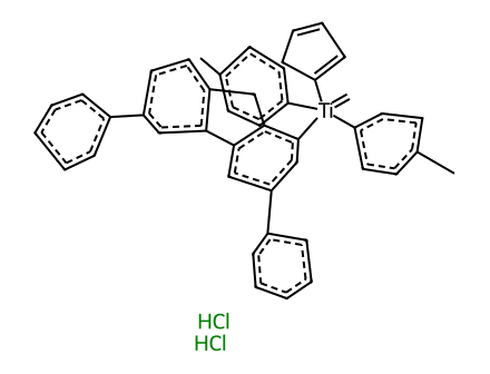 Cl.Cl.[CH2]=[Ti]([C]1=CC=CC1)([c]1ccc(C)cc1)([c]1ccc(C)cc1)[c]1cc(-c2ccccc2)cc2c1Cc1ccc(-c3ccccc3)cc1-2